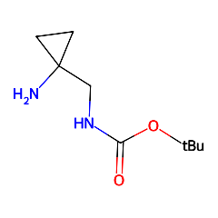 CC(C)(C)OC(=O)NCC1(N)CC1